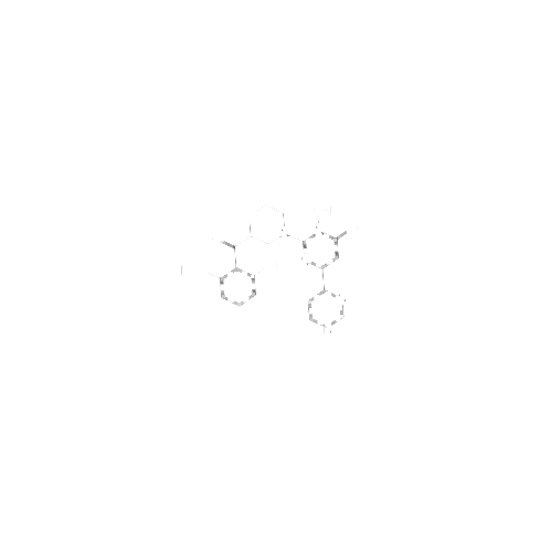 Cc1cccc(C)c1C(=O)C1CN(c2nc(-c3ccncn3)cc(=O)n2C)CCO1